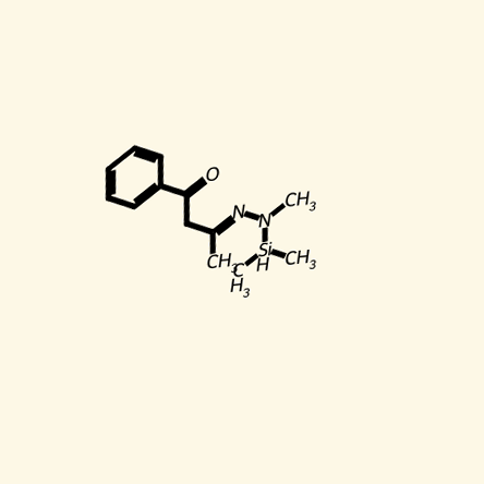 CC(CC(=O)c1ccccc1)=NN(C)[SiH](C)C